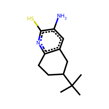 CC(C)(C)C1CCc2nc(S)c(N)cc2C1